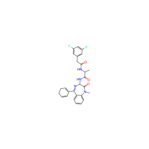 CC(NC(=O)Cc1cc(F)cc(F)c1)C(=O)NC1N=C(C2=CCCC=C2)c2ccccc2N(C)C1=O